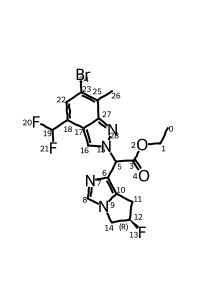 CCOC(=O)C(c1ncn2c1C[C@@H](F)C2)n1cc2c(C(F)F)cc(Br)c(C)c2n1